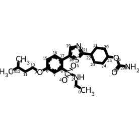 CCNS(=O)(=O)c1cc(OCCC(C)C)ccc1-c1cnc(C2CCC(OC(N)=O)CC2)s1